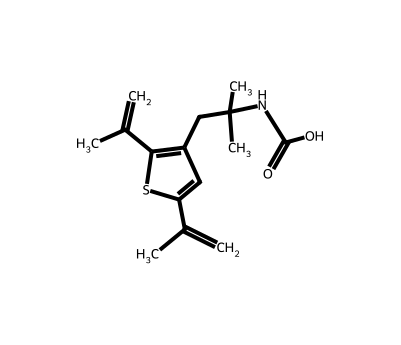 C=C(C)c1cc(CC(C)(C)NC(=O)O)c(C(=C)C)s1